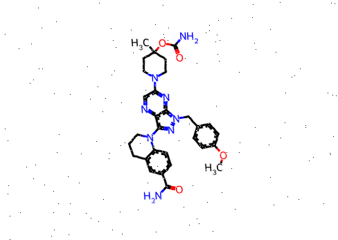 COc1ccc(Cn2nc(N3CCCc4cc(C(N)=O)ccc43)c3ncc(N4CCC(C)(OC(N)=O)CC4)nc32)cc1